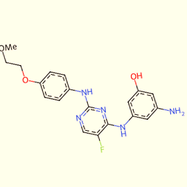 COCCOc1ccc(Nc2ncc(F)c(Nc3cc(N)cc(O)c3)n2)cc1